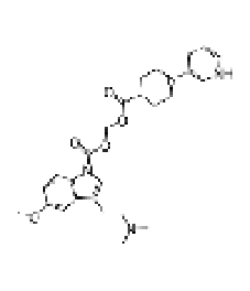 COc1ccc2c(c1)c(CCN(C)C)cn2C(=O)OCOC(=O)C1CCN(C2=CNC=CC2)CC1